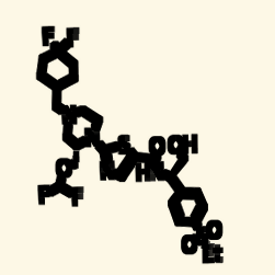 CCS(=O)(=O)c1ccc([C@H](CO)NC(=O)c2cnc(N3CCN(CC4CCC(F)(F)CC4)C[C@H]3COC(F)F)s2)cc1